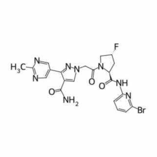 Cc1ncc(-c2nn(CC(=O)N3C[C@H](F)C[C@H]3C(=O)Nc3cccc(Br)n3)cc2C(N)=O)cn1